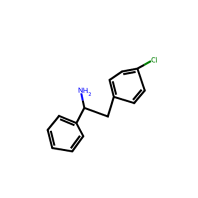 NC(Cc1ccc(Cl)cc1)c1ccccc1